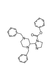 O=C(Oc1ccccc1)N1CCN=C1C1CN(Cc2ccccc2)CCN1Cc1ccccc1